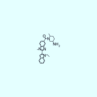 CCn1c(-c2nc3cc(C(=O)N4CC(N)CCC4C)ccc3n2C)cc2ccccc21